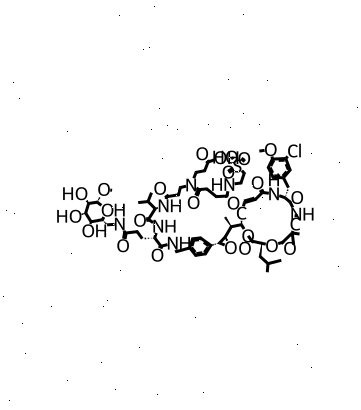 COc1ccc(C[C@H]2NC(=O)/C=C/C[C@@H]([C@H](C)[C@H]3O[C@@H]3c3ccc(CNC(=O)[C@H](CCC(=O)NC[C@H]4O[C@@H](OC)[C@H](O)[C@@H](O)[C@@H]4O)NC(=O)[C@@H](NC(=O)CCN(CCC(=O)O)C(=O)CCC(=O)NCCS(=O)(=O)O)C(C)C)cc3)OC(=O)[C@H](CC(C)C)OC(=O)C(C)(C)CNC2=O)cc1Cl